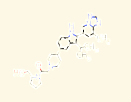 Cc1cc(-c2[nH]c3ccc(C4CCN(CC(=O)N5CCCC5CO)CC4)cc3c2C(C)C)cn2ncnc12